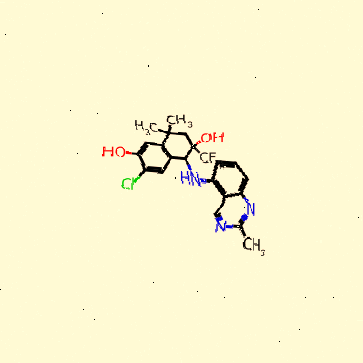 Cc1ncc2c(NC3c4cc(Cl)c(O)cc4C(C)(C)CC3(O)C(F)(F)F)cccc2n1